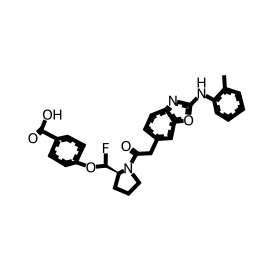 Cc1ccccc1Nc1nc2ccc(CC(=O)N3CCC[C@H]3C(F)Oc3ccc(C(=O)O)cc3)cc2o1